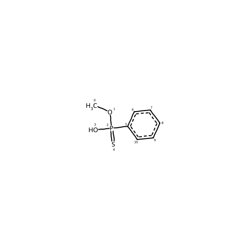 COP(O)(=S)c1ccccc1